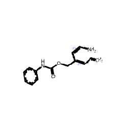 C=C/C=C(\C=C/N)COC(=O)Nc1ccccc1